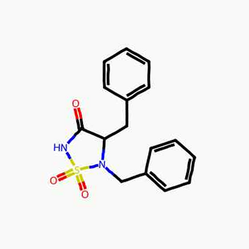 O=C1NS(=O)(=O)N(Cc2ccccc2)C1Cc1ccccc1